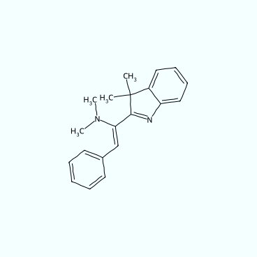 CN(C)C(=Cc1ccccc1)C1=Nc2ccccc2C1(C)C